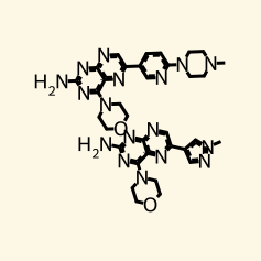 CN1CCN(c2ccc(-c3cnc4nc(N)nc(N5CCOCC5)c4n3)cn2)CC1.Cn1cc(-c2cnc3nc(N)nc(N4CCOCC4)c3n2)cn1